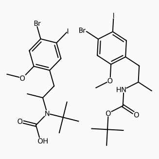 COc1cc(Br)c(I)cc1CC(C)N(C(=O)O)C(C)(C)C.COc1cc(Br)c(I)cc1CC(C)NC(=O)OC(C)(C)C